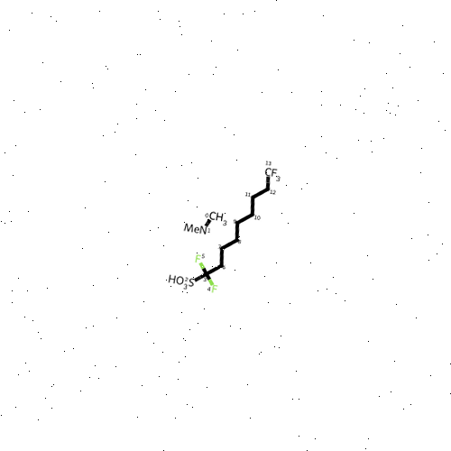 CNC.O=S(=O)(O)C(F)(F)CCCCCCCC(F)(F)F